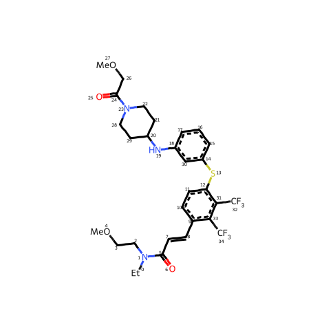 CCN(CCOC)C(=O)/C=C/c1ccc(Sc2cccc(NC3CCN(C(=O)COC)CC3)c2)c(C(F)(F)F)c1C(F)(F)F